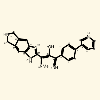 CN/C(=C(/O)C(=N)c1ccc(-c2cccnc2)cc1)c1nc2cc3c(cc2[nH]1)CNC3